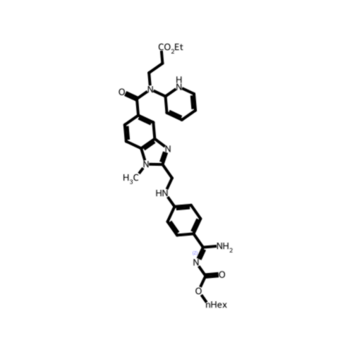 CCCCCCOC(=O)/N=C(\N)c1ccc(NCc2nc3cc(C(=O)N(CCC(=O)OCC)C4C=CC=CN4)ccc3n2C)cc1